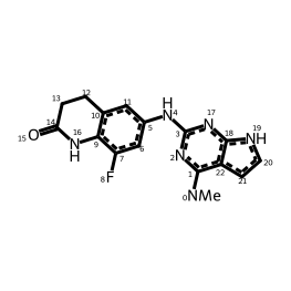 CNc1nc(Nc2cc(F)c3c(c2)CCC(=O)N3)nc2[nH]ccc12